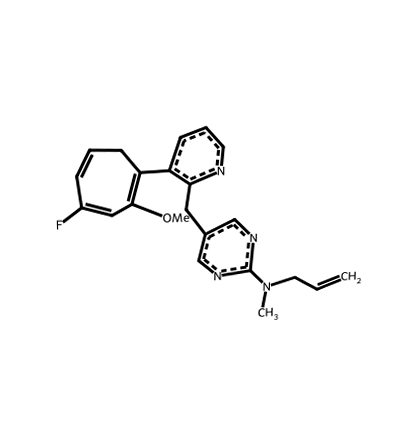 C=CCN(C)c1ncc(Cc2ncccc2C2=C(OC)C=C(F)C=CC2)cn1